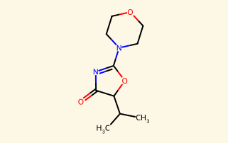 CC(C)C1OC(N2CCOCC2)=NC1=O